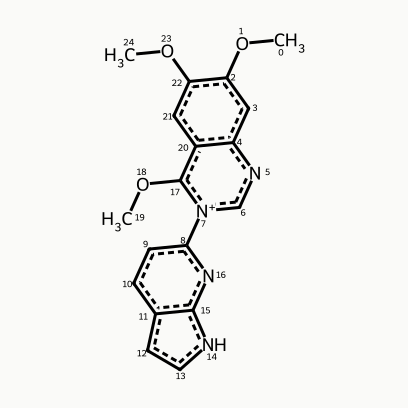 COc1cc2nc[n+](-c3ccc4cc[nH]c4n3)c(OC)c2cc1OC